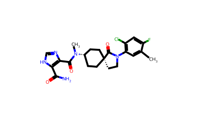 Cc1cc(N2CC[C@]3(CC[C@@H](N(C)C(=O)c4nc[nH]c4C(N)=O)CC3)C2=O)c(Cl)cc1F